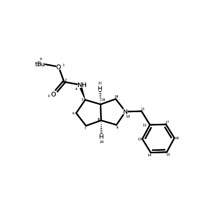 CC(C)(C)OC(=O)N[C@@H]1CC[C@@H]2CN(Cc3ccccc3)C[C@@H]21